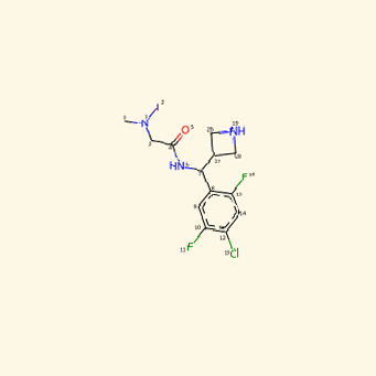 CN(I)CC(=O)NC(c1cc(F)c(Cl)cc1F)C1CNC1